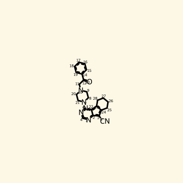 N#Cc1c2ncnn(N3CCN(CC(=O)c4ccccc4)CC3)c-2c2c1CCCC2